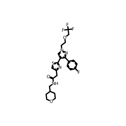 O=C(Cc1csc(-c2cn(CCOCC(F)(F)F)nc2-c2ccc(F)cc2)n1)NCC1CCOCC1